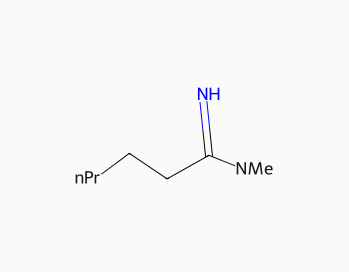 CCCCCC(=N)NC